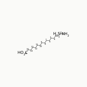 N[SiH2]CCCCCCCCCCCCCCC(=O)O